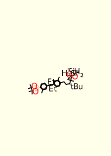 CCC(CC)(c1ccc(CCC(C(C)(C)C)C(C)(C)C(O[SiH2]C)O[SiH2]C)c(C)c1)c1ccc(B2OC(C)(C)C(C)(C)O2)c(C)c1